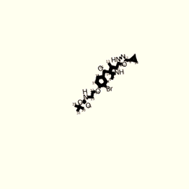 Cc1[nH]c(C2NN=C(C3CC3)O2)c(C)c1C(=O)c1ccc(OCCNC(=O)OC(C)(C)C)c(Br)c1